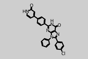 O=c1cc(-c2ccc(-c3nc4c(nc(-c5ccc(Cl)cc5)n4-c4ccccc4)c(=O)[nH]3)cc2)cc[nH]1